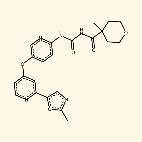 Cc1ncc(-c2cc(Oc3ccc(NC(=O)NC(=O)C4(C)CCOCC4)nc3)ccn2)o1